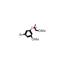 COC[C@H](C)Oc1cc(OC)cc(C(C)=O)c1